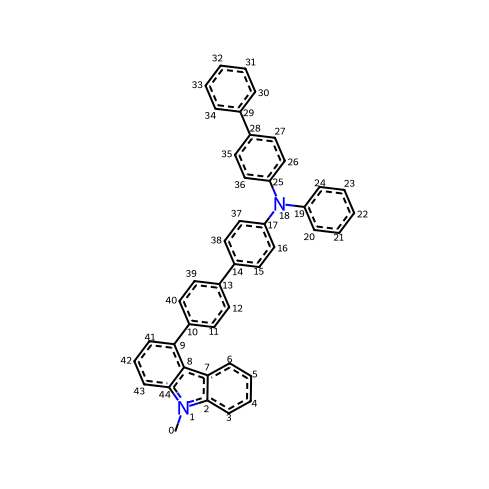 Cn1c2ccccc2c2c(-c3ccc(-c4ccc(N(c5ccccc5)c5ccc(-c6ccccc6)cc5)cc4)cc3)cccc21